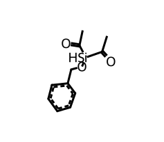 CC(=O)[SiH](OCc1ccccc1)C(C)=O